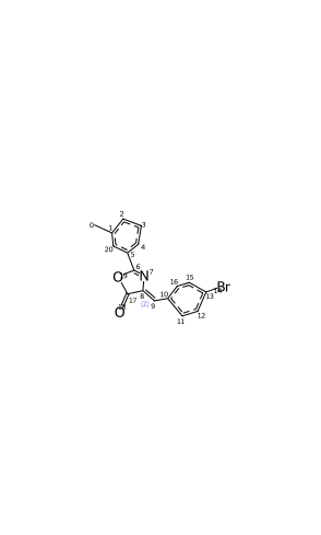 Cc1cccc(C2=N/C(=C\c3ccc(Br)cc3)C(=O)O2)c1